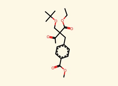 CCOC(=O)C(COC(C)(C)C)(Cc1ccc(C(=O)OC)cc1)C(C)=O